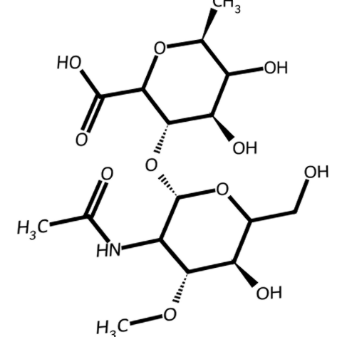 CO[C@@H]1C(NC(C)=O)[C@H](O[C@@H]2C(C(=O)O)O[C@@H](C)C(O)[C@H]2O)OC(CO)[C@H]1O